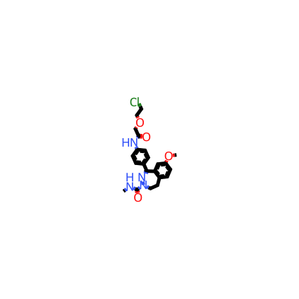 CNC(=O)N1CCc2ccc(OC)cc2C(c2ccc(NC(=O)COCCCl)cc2)=N1